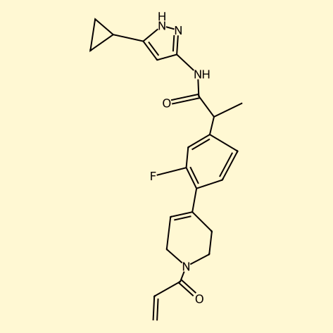 C=CC(=O)N1CC=C(c2ccc(C(C)C(=O)Nc3cc(C4CC4)[nH]n3)cc2F)CC1